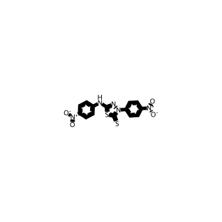 O=[N+]([O-])c1ccc(Nc2nn(-c3ccc([N+](=O)[O-])cc3)c(=S)s2)cc1